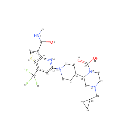 CNC(=O)c1csc2c(C(F)(F)F)cc(N3CCC(C4CN(CC5CC5)CCN4C(=O)O)CC3)nc12